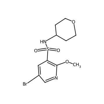 COc1ncc(Br)cc1S(=O)(=O)NC1CCOCC1